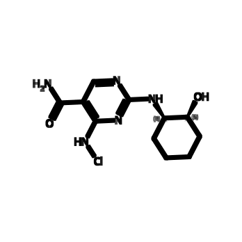 NC(=O)c1cnc(N[C@@H]2CCCC[C@@H]2O)nc1NCl